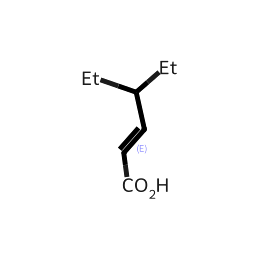 CCC(/C=C/C(=O)O)CC